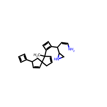 CC1(C2=C(C(/C=C\N)C3CN3)C=C2)C=CCC12C=CC(C1=CC=C1)C2